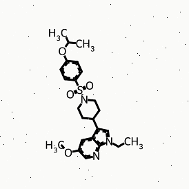 CCn1cc(C2CCN(S(=O)(=O)c3ccc(OC(C)C)cc3)CC2)c2cc(OC)cnc21